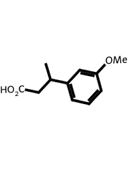 COc1cccc(C(C)CC(=O)O)c1